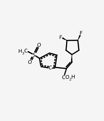 CS(=O)(=O)c1ccc(/C(=C\[C@H]2C[C@@H](F)[C@@H](F)C2)C(=O)O)cc1